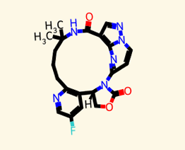 CC1(C)CCCc2ncc(F)cc2[C@H]2COC(=O)N2c2ccn3ncc(c3n2)C(=O)N1